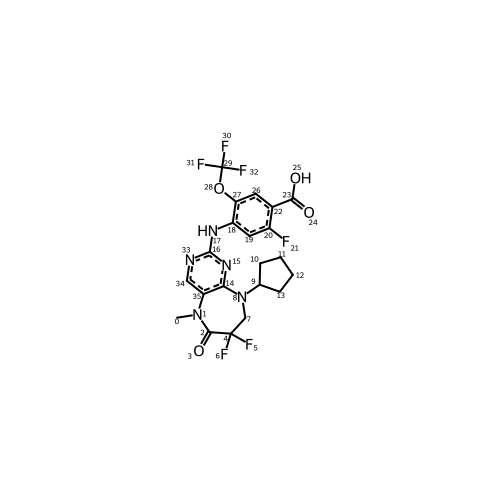 CN1C(=O)C(F)(F)CN(C2CCCC2)c2nc(Nc3cc(F)c(C(=O)O)cc3OC(F)(F)F)ncc21